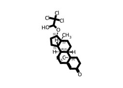 C[C@]12CC[C@H]3[C@@H](CCC4=CC(=O)CC[C@@]43C)[C@@H]1CC[C@@H]2OC(O)C(Cl)(Cl)Cl